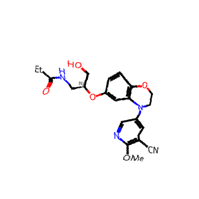 CCC(=O)NC[C@@H](CO)Oc1ccc2c(c1)N(c1cnc(OC)c(C#N)c1)CCO2